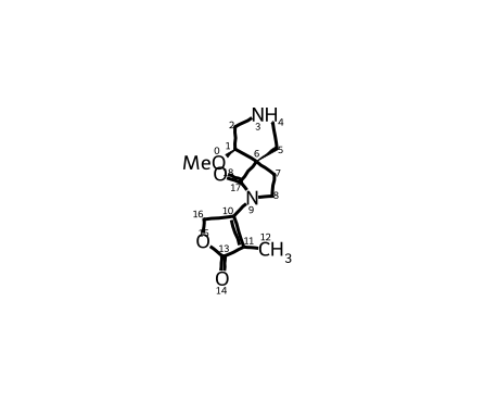 CO[C@H]1CNCC[C@]12CCN(C1=C(C)C(=O)OC1)C2=O